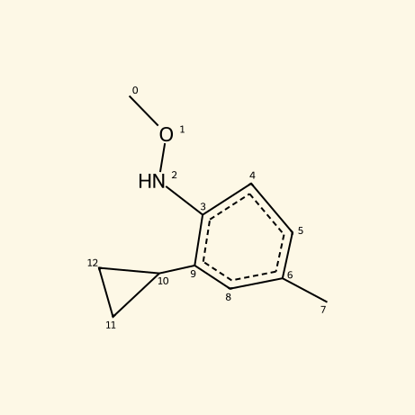 CONc1ccc(C)cc1C1CC1